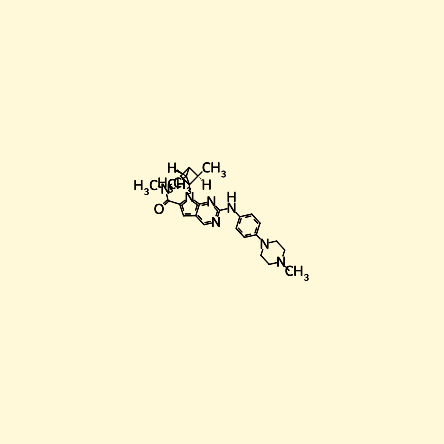 C[C@@H]1C2CC1(n1c(C(=O)N(C)C)cc3cnc(Nc4ccc(N5CCN(C)CC5)cc4)nc31)[C@@H]2C